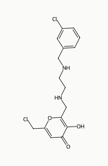 O=c1cc(CCl)oc(CNCCNCc2cccc(Cl)c2)c1O